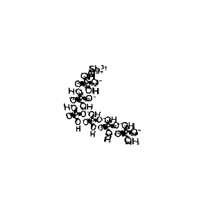 O=P([O-])(O)O.O=P([O-])(O)O.O=P([O-])(O)O.O=P([O-])(O)O.O=P([O-])(O)O.O=P([O-])(O)O.[Al+3].[Sb+3]